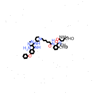 CNC(=O)C(CCC=O)N(C)C(=O)c1c(C=O)cccc1NC(=O)CCCCCN1CCC[C@H](Nc2ncnc(N)c2C(=N)c2ccc(Oc3ccccc3)cc2)C1